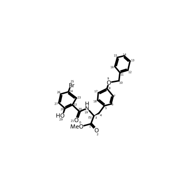 COC(=O)[C@H](Cc1ccc(OCc2ccccc2)cc1)NC(=O)c1cc(Br)ccc1O